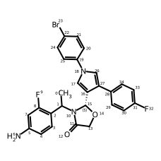 CC(c1ccc(N)cc1F)N1C(=O)CO[C@H]1c1cn(-c2ccc(Br)cc2)cc1-c1ccc(F)cc1